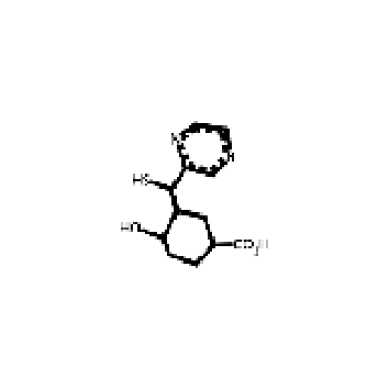 O=C(O)C1CCC(O)C(C(S)c2cnccn2)C1